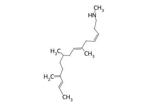 C=C(/C=C/C)CCC(C)C/C=C(\C)C/C=C\CCNC